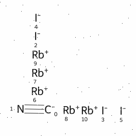 [C-]#N.[I-].[I-].[I-].[I-].[Rb+].[Rb+].[Rb+].[Rb+].[Rb+]